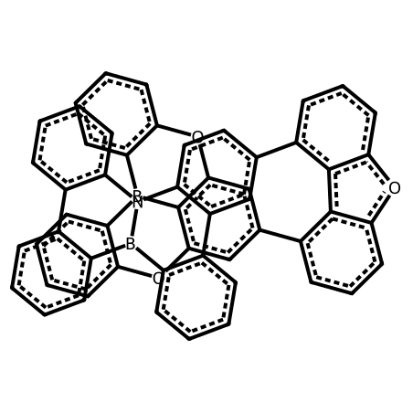 c1ccc2c(c1)Oc1cc(-c3cccc4oc5cccc(-c6ccc7c(c6)-c6ccccc6B6c8ccccc8-c8ccccc8N67)c5c34)cc3c1B2c1ccccc1O3